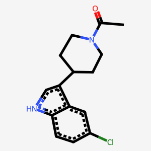 CC(=O)N1CCC(c2c[nH]c3ccc(Cl)cc23)CC1